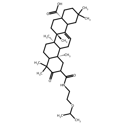 CC(C)OCCNC(=O)C1C[C@@]2(C)C(CC[C@]3(C)C2CC=C2C4CC(C)(C)CC[C@]4(C(=O)O)CC[C@]23C)C(C)(C)C1=O